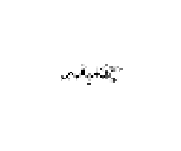 CC(C)CCC(=O)NCC[Si](C(C)C)(C(C)C)C(C)C